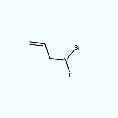 C=CCN(F)Br